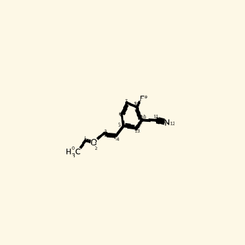 CCOC=Cc1ccc(F)c(C#N)c1